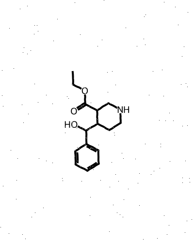 CCOC(=O)C1CNCCC1C(O)c1ccccc1